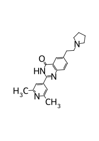 Cc1cc(-c2nc3ccc(CCN4CCCC4)cc3c(=O)[nH]2)cc(C)n1